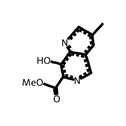 COC(=O)c1ncc2cc(C)cnc2c1O